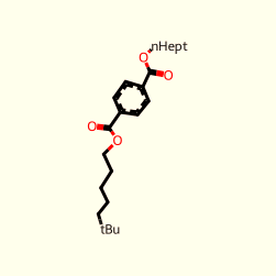 CCCCCCCOC(=O)c1ccc(C(=O)OCCCCCC(C)(C)C)cc1